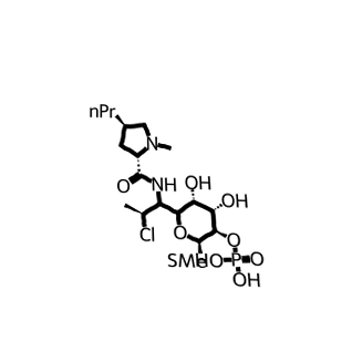 CCC[C@@H]1C[C@@H](C(=O)NC(C2O[C@H](SC)[C@H](OP(=O)(O)O)[C@@H](O)[C@H]2O)[C@H](C)Cl)N(C)C1